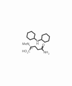 C1CCC(NC2CCCCC2)CC1.CN[C@H](CCC(N)=O)C(=O)O